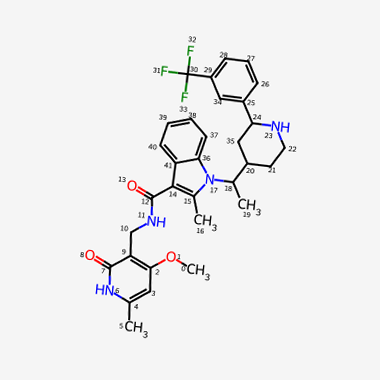 COc1cc(C)[nH]c(=O)c1CNC(=O)c1c(C)n(C(C)C2CCNC(c3cccc(C(F)(F)F)c3)C2)c2ccccc12